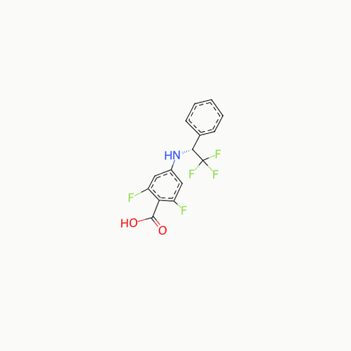 O=C(O)c1c(F)cc(N[C@H](c2ccccc2)C(F)(F)F)cc1F